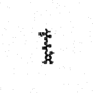 COc1cc(CCNC(=O)OCOC(=O)[C@@H](N)C(C)C)c(OC)cc1Br